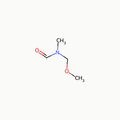 COCN(C)[C]=O